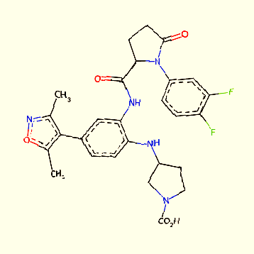 Cc1noc(C)c1-c1ccc(NC2CCN(C(=O)O)C2)c(NC(=O)C2CCC(=O)N2c2ccc(F)c(F)c2)c1